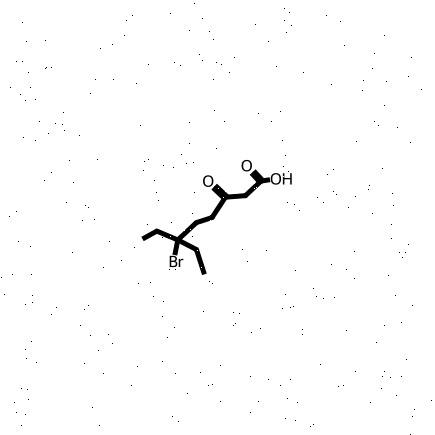 CCC(Br)(CC)CCC(=O)CC(=O)O